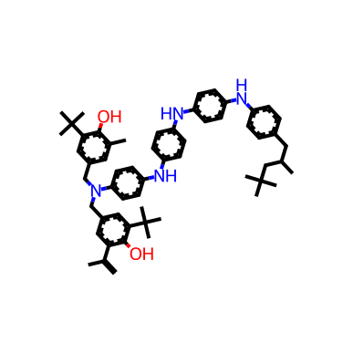 C=C(C)c1cc(CN(Cc2cc(C)c(O)c(C(C)(C)C)c2)c2ccc(Nc3ccc(Nc4ccc(Nc5ccc(CC(C)CC(C)(C)C)cc5)cc4)cc3)cc2)cc(C(C)(C)C)c1O